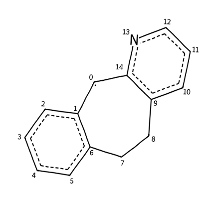 [C]1c2ccccc2CCc2cccnc21